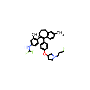 Cc1ccc2c(c1)CCCC(c1ccc(NC(F)F)cc1C)=C2c1ccc(OC2CCN(CCCF)C2)cc1